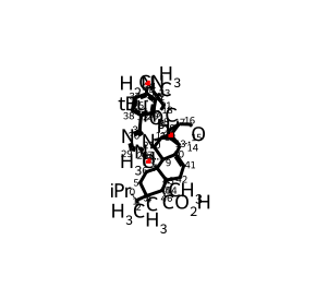 CC(C)[C@@H](C)[C@@]1(C)CC[C@]2(C)[C@H]3CC[C@@H]4[C@@]5(COC[C@]4(C)[C@@H](OC[C@](C)(N)C(C)(C)C)[C@H](n4ncnc4-c4ccc(C#N)cc4)C5)C3=CC[C@@]2(C)[C@@H]1C(=O)O